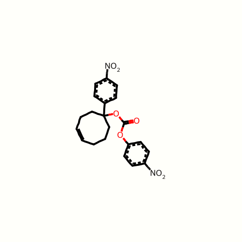 O=C(Oc1ccc([N+](=O)[O-])cc1)OC1(c2ccc([N+](=O)[O-])cc2)CCC=CCCC1